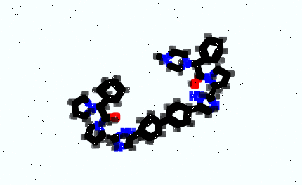 CN1CCN(C(C(=O)N2CCC[C@H]2c2ncc(-c3ccc(-c4ccc(-c5cnc([C@@H]6CCCN6C(=O)C(c6ccccc6)N6CCCC6)[nH]5)cc4)cc3)[nH]2)c2ccccc2)CC1